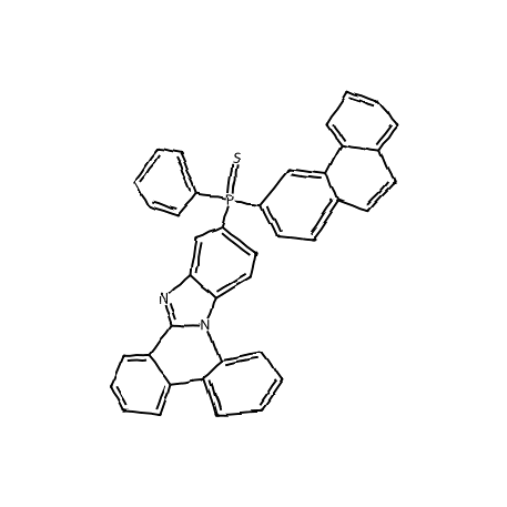 S=P(c1ccccc1)(c1ccc2c(c1)nc1c3ccccc3c3ccccc3n21)c1ccc2ccc3ccccc3c2c1